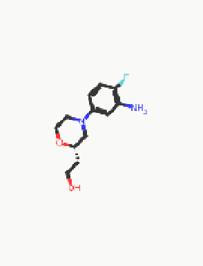 Nc1cc(N2CCO[C@@H](CCO)C2)ccc1F